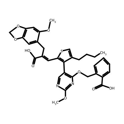 CCCCc1csc(/C=C(\Cc2cc3c(cc2OC)OCO3)C(=O)O)c1-c1cnc(OC)nc1OCc1ccccc1C(=O)O